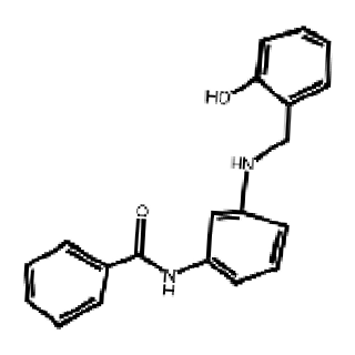 O=C(Nc1cccc(NCc2ccccc2O)c1)c1ccccc1